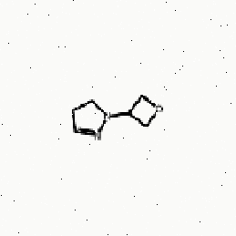 C1=NN(C2COC2)CC1